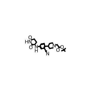 CC(C)(C)OC(=O)CN1CCC(c2ccc(NC3CCC(=O)NC3=O)cc2C#N)CC1